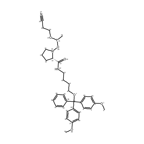 COc1ccc(C(OCCCCNC(=O)[C@@H]2CCCN2OP(C)OCCC#N)(c2ccccc2)c2ccc(OC)cc2)cc1